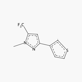 Cn1nc(-c2[c]scc2)cc1C(F)(F)F